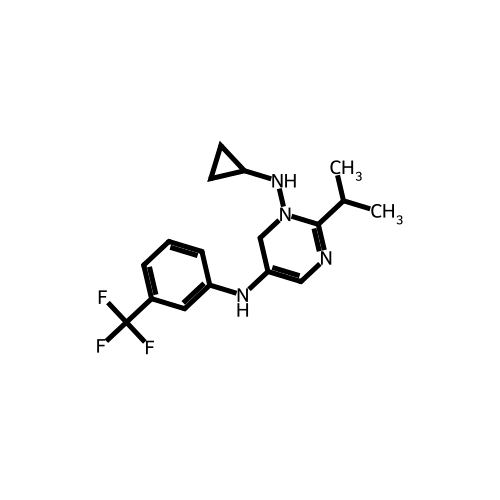 CC(C)C1=NC=C(Nc2cccc(C(F)(F)F)c2)CN1NC1CC1